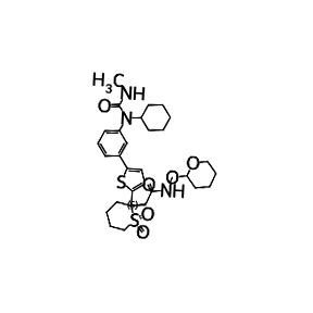 CNC(=O)N(c1cccc(-c2ccc([C@@]3(CC(=O)NOC4CCCCO4)CCCCS3(=O)=O)s2)c1)C1CCCCC1